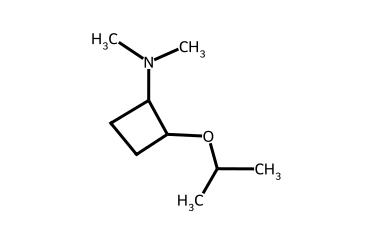 CC(C)OC1CCC1N(C)C